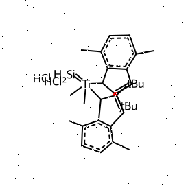 Cc1ccc(C)c2c1C=C(C(C)(C)C)[CH]2[Ti]([CH3])([CH3])(=[SiH2])[CH]1C(C(C)(C)C)=Cc2c(C)ccc(C)c21.Cl.Cl